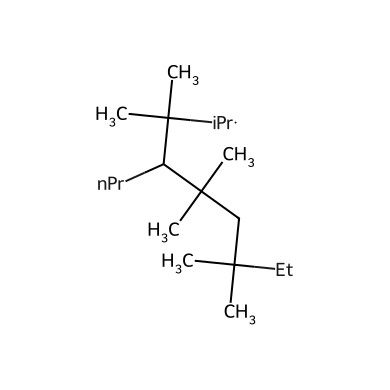 CCCC(C(C)(C)CC(C)(C)CC)C(C)(C)[C](C)C